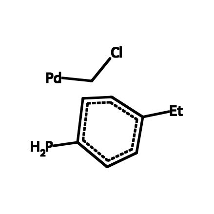 CCc1ccc(P)cc1.Cl[CH2][Pd]